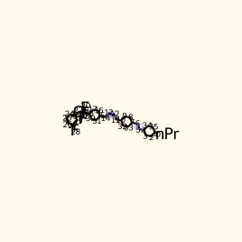 CCCC1CCC(/C=C/C2CCC(C/C=C\CC3CCC(C(F)(F)Oc4cccc(F)c4)CC3)CC2)CC1